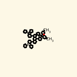 Cc1ccc(C2(c3ccc(C)cc3)c3ccccc3-c3c(-c4c5cccc(-c6cccc7c6c6ccccc6n7-c6ccccc6)c5cc5c(-c6cccc7c6c6ccccc6n7-c6ccccc6)cccc45)cccc32)cc1